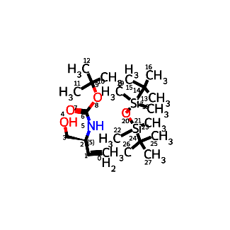 C=C[C@@H](CO)NC(=O)OC(C)(C)C.CC(C)(C)[Si](C)(C)O[Si](C)(C)C(C)(C)C